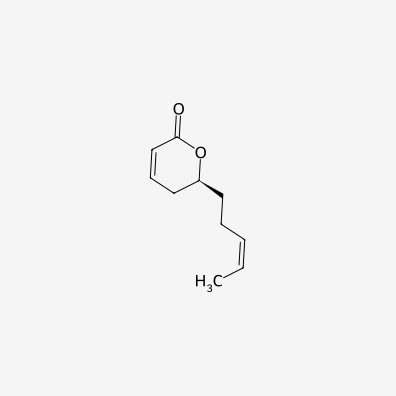 C/C=C\CC[C@H]1CC=CC(=O)O1